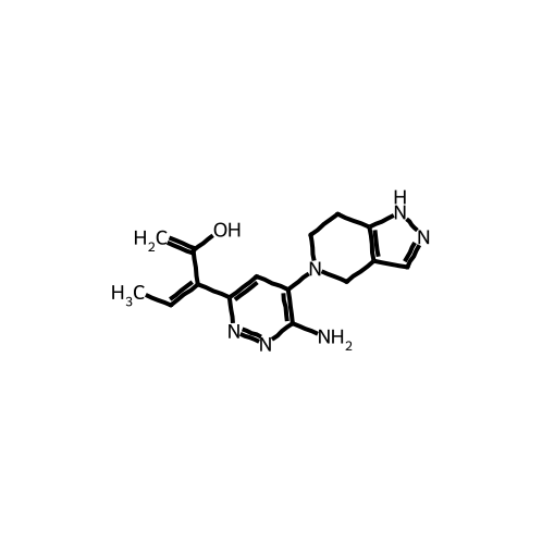 C=C(O)/C(=C\C)c1cc(N2CCc3[nH]ncc3C2)c(N)nn1